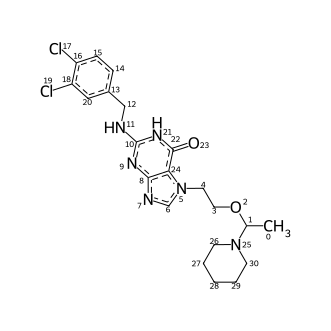 CC(OCCn1cnc2nc(NCc3ccc(Cl)c(Cl)c3)[nH]c(=O)c21)N1CCCCC1